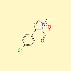 CC[N+]1(OC)C=CC(c2ccc(Cl)cc2)=C1C=O